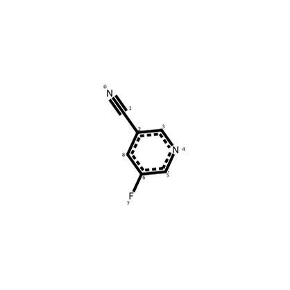 N#Cc1cn[c]c(F)c1